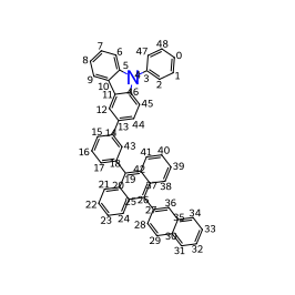 c1ccc(-n2c3ccccc3c3cc(-c4cccc(-c5c6ccccc6c(-c6ccc7ccccc7c6)c6ccccc56)c4)ccc32)cc1